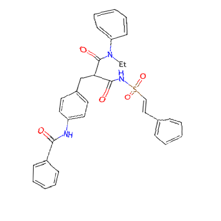 CCN(C(=O)C(Cc1ccc(NC(=O)c2ccccc2)cc1)C(=O)NS(=O)(=O)C=Cc1ccccc1)c1ccccc1